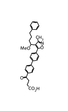 COC(CCCc1ccccc1)c1c(C)noc1-c1ccc(-c2ccc(C(=O)CCC(=O)O)cc2)cc1